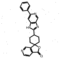 O=C1OC2(CCC(c3nc4cnc(-c5ccccc5)cc4[nH]3)CC2)c2cnccc21